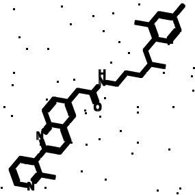 Cc1ccc(CC(C)CCCNC(=O)Cc2ccc3nc(-c4cccnc4C)ccc3c2)c(C)c1